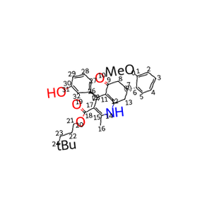 COc1ccccc1[C@H]1CC(=O)C2=C(C1)NC(C)=C(C(=O)OCCCC(C)(C)C)[C@H]2c1cccc(O)c1